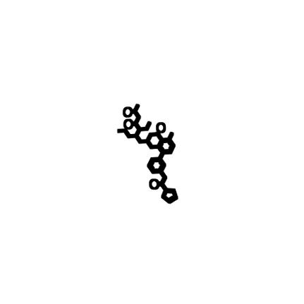 CCCC(CC1CC(=O)c2c(C)ccc(-c3cccc(CC(=O)C4=CC=CC4)c3)c2C1)C(CC)C(=O)CC(C)=O